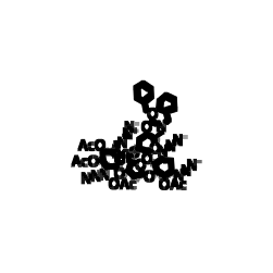 CC[C@H]1O[C@@H](O[C@@H]2[C@@H](OC(C)=O)[C@H](N=[N+]=[N-])C[C@H](N=[N+]=[N-])[C@H]2O[C@H]2O[C@H](CN(Cc3ccccc3)C(=O)OCc3ccccc3)CC[C@H]2OC(C)=O)[C@H](OC(C)=O)[C@@H]1O[C@H]1O[C@@H](CN=[N+]=[N-])[C@@H](OC(C)=O)[C@H](OC(C)=O)[C@H]1N=[N+]=[N-]